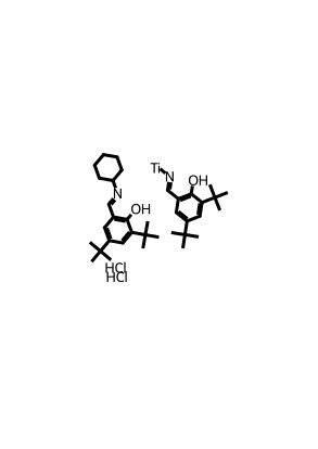 CC(C)(C)c1cc(C=NC2CCCCC2)c(O)c(C(C)(C)C)c1.CC(C)(C)c1cc(C=[N][Ti])c(O)c(C(C)(C)C)c1.Cl.Cl